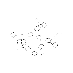 CC(C)(C)[Si](C)(C)n1c2ccccc2c2cc(N(C3=CC[C@H]3N(c3ccccc3)c3ccccc3)c3ccc(N(c4ccc(N(c5ccc(N(c6ccccc6)c6ccccc6)cc5)c5ccc6c(c5)c5ccccc5n6[Si](C)(C)C(C)(C)C)cc4)c4ccc5c(c4)c4ccccc4n5[Si](C)(C)C(C)(C)C)cc3)ccc21